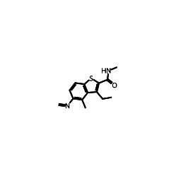 C=Nc1ccc2sc(C(=O)NC)c(CC)c2c1C